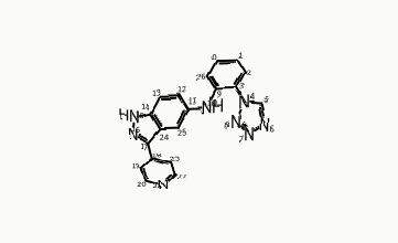 c1ccc(-n2cnnn2)c(Nc2ccc3[nH]nc(-c4ccncc4)c3c2)c1